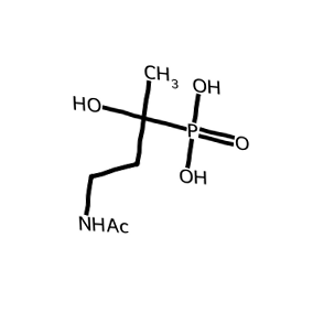 CC(=O)NCCC(C)(O)P(=O)(O)O